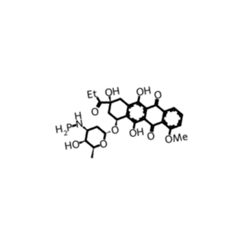 CCC(=O)[C@]1(O)Cc2c(O)c3c(c(O)c2[C@@H](O[C@H]2C[C@H](NP)[C@H](O)[C@H](C)O2)C1)C(=O)c1c(OC)cccc1C3=O